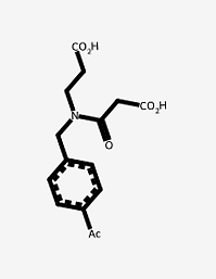 CC(=O)c1ccc(CN(CCC(=O)O)C(=O)CC(=O)O)cc1